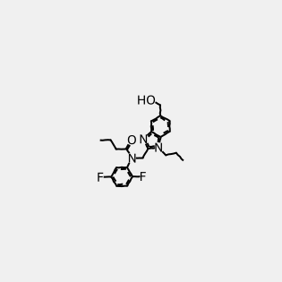 CCCC(=O)N(Cc1nc2cc(CO)ccc2n1CCC)c1cc(F)ccc1F